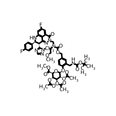 COCCN(Cn1nc2c3c(cc(F)cc3c1=O)N[C@H](c1ccc(F)cc1)[C@H]2c1ncnn1C)C(=O)OCc1ccc(O[C@@H]2O[C@H](C(=O)OC)[C@@H](OC(C)=O)[C@H](OC(C)=O)[C@H]2OC(C)=O)c(CNC(=O)OC(C)(C)C)c1